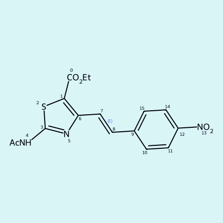 CCOC(=O)c1sc(NC(C)=O)nc1/C=C/c1ccc([N+](=O)[O-])cc1